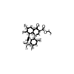 CCOC(=O)c1cn(-c2ccc(F)cc2F)c2c(C#C[Si](C)(C)C)c(F)c(F)cc2c1=O